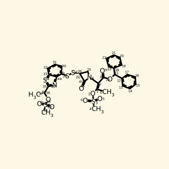 CC(OS(C)(=O)=O)=C(C(=O)OC(c1ccccc1)c1ccccc1)N1C[C@H](SSc2cccc3sc([C@@H](C)OS(C)(=O)=O)nc23)C1=O